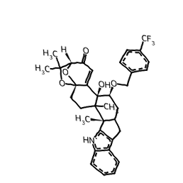 CC1(C)O[C@@]23CCC4(C)[C@@]5(C)c6[nH]c7ccccc7c6CC5C[C@H](OCc5ccc(C(F)(F)F)cc5)[C@@]4(O)C2=CC(=O)[C@@H]1O3